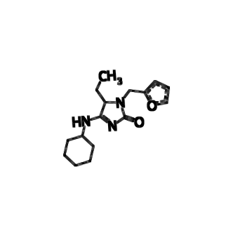 CCC1C(NC2CCCCC2)=NC(=O)N1Cc1ccco1